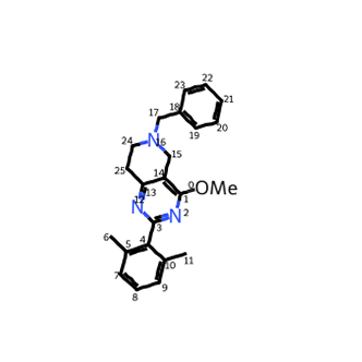 COc1nc(-c2c(C)cccc2C)nc2c1CN(Cc1ccccc1)CC2